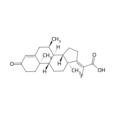 C[C@@H]1CC2=CC(=O)CC[C@]2(C)[C@H]2CC[C@]3(C)C(=C(F)C(=O)O)CC[C@H]3[C@H]12